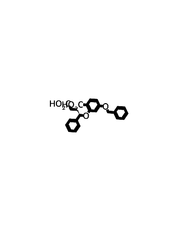 O=C(O)CC[C@H](Oc1cc(OCc2ccccc2)ccc1C(=O)O)c1ccccc1